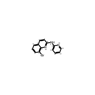 Brc1cccc2ccc(Nc3ccccn3)nc12